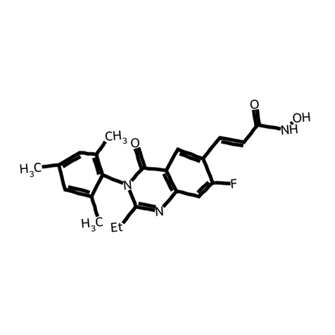 CCc1nc2cc(F)c(/C=C/C(=O)NO)cc2c(=O)n1-c1c(C)cc(C)cc1C